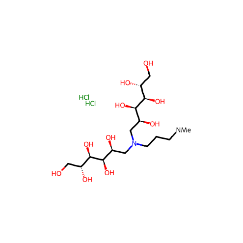 CNCCCN(C[C@H](O)[C@@H](O)[C@H](O)[C@H](O)CO)C[C@H](O)[C@@H](O)[C@H](O)[C@H](O)CO.Cl.Cl